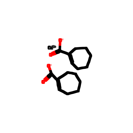 O=C([O-])C1=CCCCCC1.O=C([O-])C1=CCCCCC1.[Cd+2]